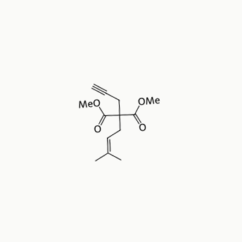 C#CCC(CC=C(C)C)(C(=O)OC)C(=O)OC